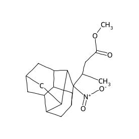 COC(=O)CC(C)C1([N+](=O)[O-])C2CC3C4CC5CC3C1C(C5)C4C2